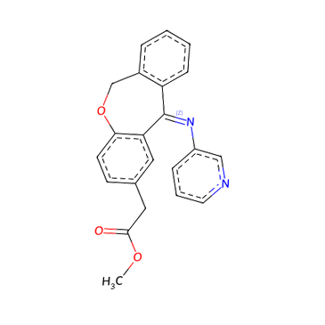 COC(=O)Cc1ccc2c(c1)/C(=N\c1cccnc1)c1ccccc1CO2